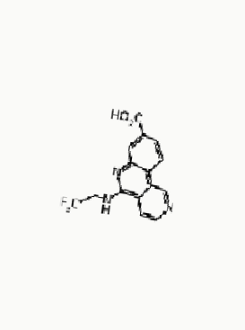 O=C(O)c1ccc2c(c1)nc(NCC(F)(F)F)c1ccncc12